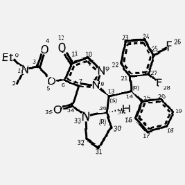 CCN(C)C(=O)Oc1c2n(ncc1=O)[C@@H]([C@H](c1ccccc1)c1cccc(F)c1F)[C@H]1CCCN1C2=O